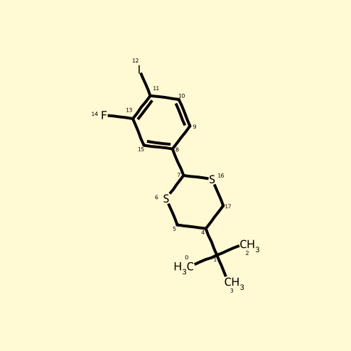 CC(C)(C)C1CSC(c2ccc(I)c(F)c2)SC1